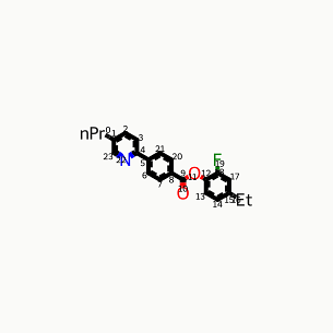 CCCc1ccc(-c2ccc(C(=O)Oc3ccc(CC)cc3F)cc2)nc1